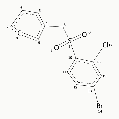 O=S(=O)(Cc1ccccc1)c1ccc(Br)cc1Cl